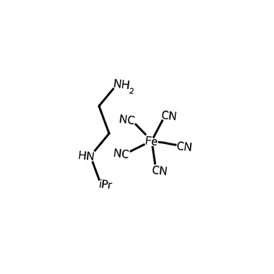 CC(C)NCCN.N#[C][Fe]([C]#N)([C]#N)([C]#N)[C]#N